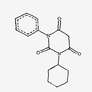 O=C1CC(=O)N(C2CCCCC2)C(=O)N1c1ccccc1